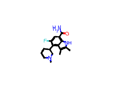 Cc1[nH]c2c(C(N)=O)cc(F)c(C3CCCN(C)C3)c2c1C